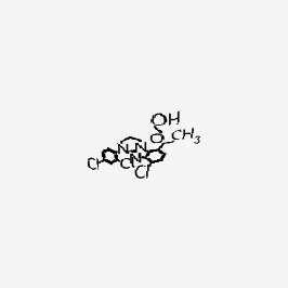 CCC(OCCO)c1ccc(Cl)c2nc3n(c12)CCCN3c1ccc(Cl)cc1Cl